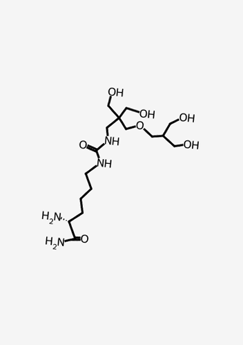 NC(=O)[C@H](N)CCCCNC(=O)NCC(CO)(CO)COCC(CO)CO